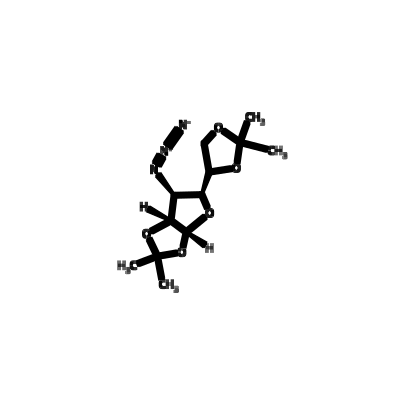 CC1(C)OCC([C@H]2O[C@@H]3OC(C)(C)O[C@@H]3[C@H]2N=[N+]=[N-])O1